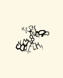 Cc1c(C)n(-c2cnc3c(ccc4cccnc43)c2)c2c1ccc1c2ccc2c(C)c(C)n(-c3cnc4c(ccc5cccnc54)c3)c21